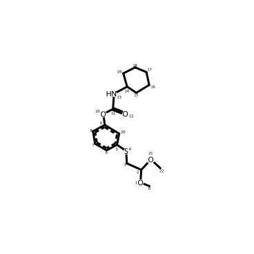 COC(CSc1cccc(OC(=O)NC2CCCCC2)c1)OC